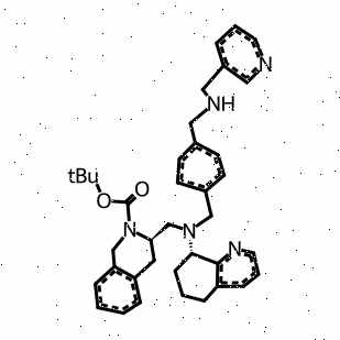 CC(C)(C)OC(=O)N1Cc2ccccc2C[C@@H]1CN(Cc1ccc(CNCc2cccnc2)cc1)[C@H]1CCCc2cccnc21